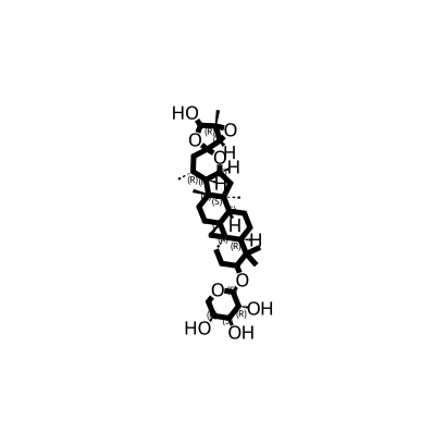 C[C@@H]1CC2(OC(O)[C@]3(C)O[C@H]23)O[C@H]2C[C@@]3(C)[C@@H]4CC[C@H]5C(C)(C)C(O[C@@H]6OC[C@@H](O)[C@H](O)[C@H]6O)CC[C@@]56C[C@@]46CC[C@]3(C)[C@@H]12